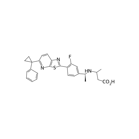 CC(CC(=O)O)N[C@@H](C)c1ccc(-c2nc3ccc(C4(c5ccccc5)CC4)nc3s2)c(F)c1